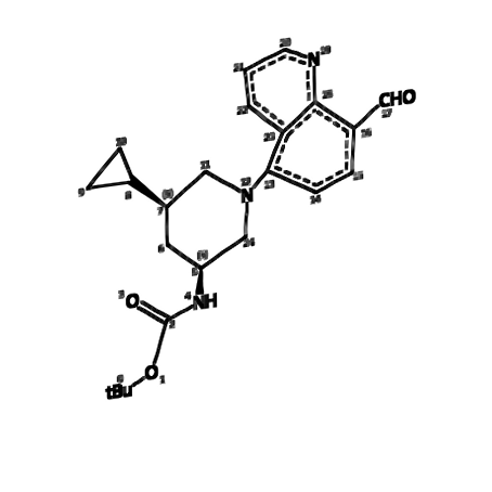 CC(C)(C)OC(=O)N[C@H]1C[C@@H](C2CC2)CN(c2ccc(C=O)c3ncccc23)C1